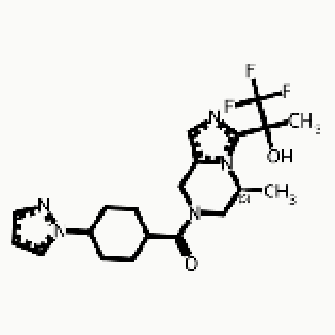 C[C@H]1CN(C(=O)C2CCC(n3cccn3)CC2)Cc2cnc(C(C)(O)C(F)(F)F)n21